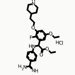 CCOC(=O)C(Nc1ccc(C(=N)N)cc1)c1cc(OCC)cc(OCCC2CCNCC2)c1F.Cl